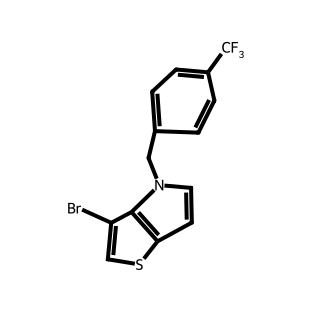 FC(F)(F)c1ccc(Cn2ccc3scc(Br)c32)cc1